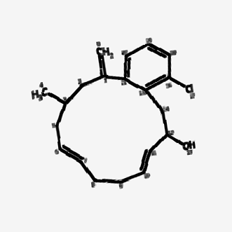 C=C1CC(C)C/C=C/CC/C=C/C(O)Cc2c(Cl)cccc21